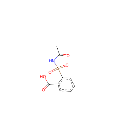 CC(=O)NS(=O)(=O)c1ccccc1C(=O)O